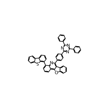 c1ccc(-c2nc(-c3ccccc3)nc(-c3ccc(-c4nc5c(-c6cccc7c6sc6ccccc67)cccc5c5oc6ccccc6c45)cc3)n2)cc1